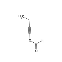 CCC#COC(=O)Cl